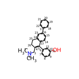 CN(C)CC1=C(c2cccc(O)c2)c2ccc(-c3ccccc3)cc2CC1